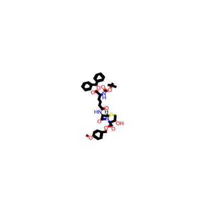 COc1ccc(COC(=O)C2C(O)CS[C@H]3[C@H](NC(=O)CCCC(NC(=O)OC(C)(C)C)C(=O)OC(c4ccccc4)c4ccccc4)C(=O)N23)cc1